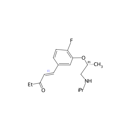 CCC(=O)/C=C/c1ccc(F)c(O[C@H](C)CNC(C)C)c1